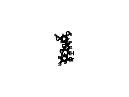 COc1cc(OC)cc(C2(C)CC(Nc3ncc(C)cc3Br)C(=O)O2)c1